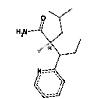 CCC(c1ccccn1)[C@](C)(CC(C)C)C(N)=O